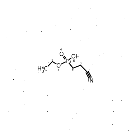 CCOP(=O)(O)CCC#N